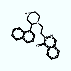 O=c1c2ccccc2cnn1CCN1CCNCC1c1cccc2ccccc12